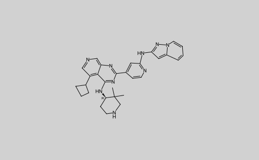 CC1(C)CNCC[C@H]1Nc1nc(-c2ccnc(Nc3cc4ccccn4n3)c2)nc2cncc(C3CCC3)c12